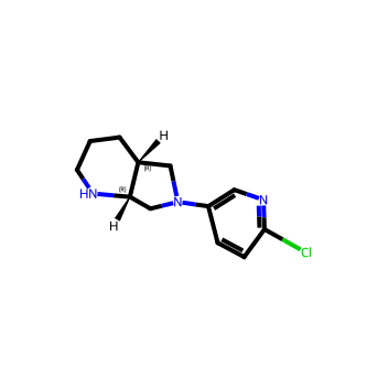 Clc1ccc(N2C[C@H]3CCCN[C@H]3C2)cn1